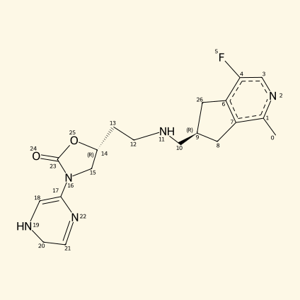 Cc1ncc(F)c2c1C[C@@H](CNCC[C@@H]1CN(C3=CNCC=N3)C(=O)O1)C2